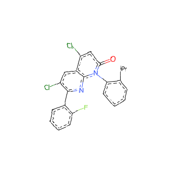 CC(C)c1ccccc1-n1c(=O)cc(Cl)c2cc(Cl)c(-c3ccccc3F)nc21